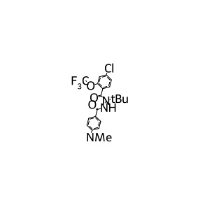 CNc1ccc(C(=O)NN(C(=O)c2ccc(Cl)cc2OC(F)(F)F)C(C)(C)C)cc1